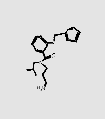 CC(C)CN(CCCN)C(=O)c1ccccc1OCc1ccccc1